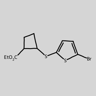 CCOC(=O)C1CCC1Sc1ccc(Br)s1